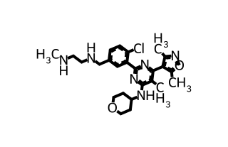 CNCCNCc1ccc(Cl)c(-c2nc(NC3CCOCC3)c(C)c(-c3c(C)noc3C)n2)c1